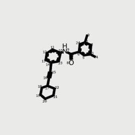 Cc1cc(C)cc(C(=O)Nc2cccc(C#CC3CCCCC3)c2)c1